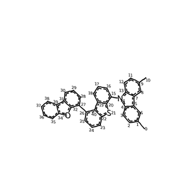 Cc1ccc2c(c1)c1cc(C)ccc1n2-c1cccc2c1sc1cccc(-c3cccc4c3oc3ccccc34)c12